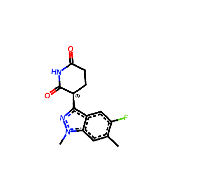 Cc1cc2c(cc1F)c([C@@H]1CCC(=O)NC1=O)nn2C